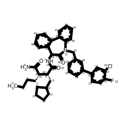 CCCC[C@H](C(N)=O)[C@@H](CC1CCCC1)C(=O)NC1C(=O)N(Cc2cccc(-c3ccc(F)c(Cl)c3)c2)c2ccccc2-c2ccccc21